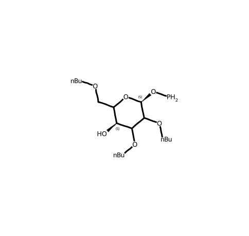 CCCCOCC1O[C@@H](OP)C(OCCCC)C(OCCCC)[C@H]1O